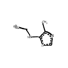 CCCCCNc1ocnc1C